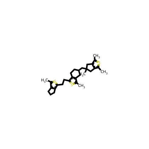 Cc1sc(C)c2c1CC(C)(CC1CCc3c(CCc4sc(C)c5c4CCC5)sc(C)c3C1)C2